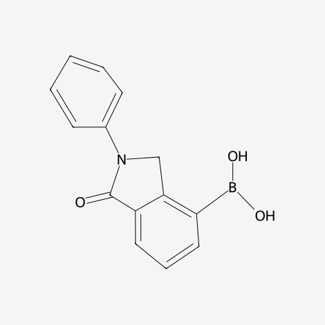 O=C1c2cccc(B(O)O)c2CN1c1ccccc1